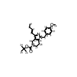 CCC=Cc1nn(Cc2ccc(OC)cc2)c2c1CN(C(=O)OC(C)(C)C)CC2